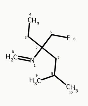 C=NC(CC)(CF)CC(C)C